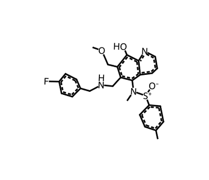 COCc1c(CNCc2ccc(F)cc2)c(N(C)[S+]([O-])c2ccc(C)cc2)c2cccnc2c1O